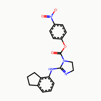 O=C(Oc1ccc([N+](=O)[O-])cc1)N1CCN=C1Nc1cccc2c1CCC2